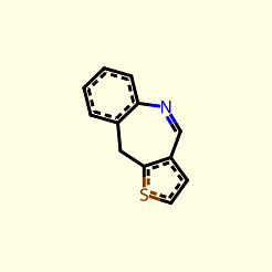 C1=Nc2ccccc2Cc2sccc21